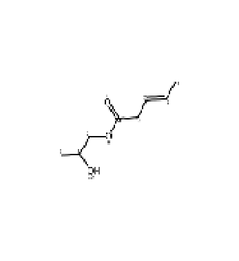 CC=CCC(=O)OCC(C)O